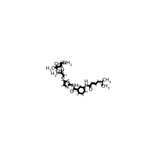 CN(C)C/C=C/C(=O)NC1CCCC(C(=O)Nc2ncc(SC[C@@H](P)O/C(=C\N)C(C)(C)C)s2)C1